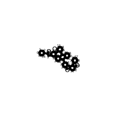 c1ccc(-c2cc3ccc4c(oc5cccc(-c6c7ccccc7c(-c7ccc8oc9ccc%10oc%11ccccc%11c%10c9c8c7)c7ccccc67)c54)c3o2)cc1